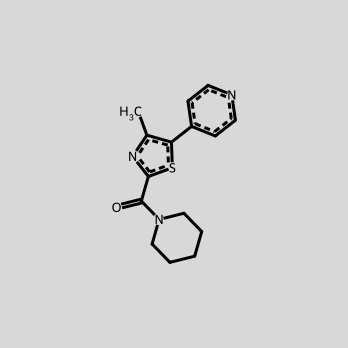 Cc1nc(C(=O)N2CCCCC2)sc1-c1ccncc1